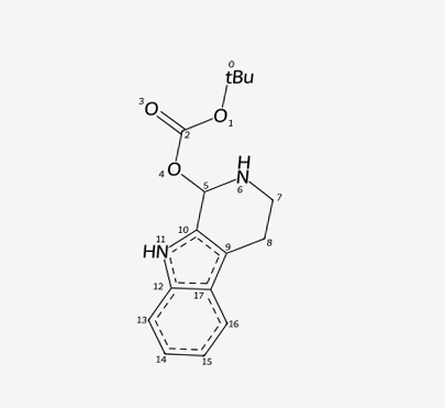 CC(C)(C)OC(=O)OC1NCCc2c1[nH]c1ccccc21